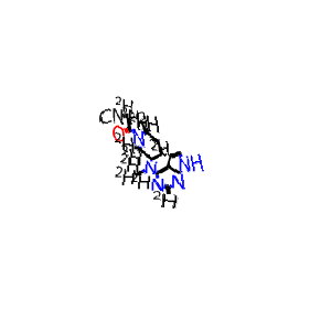 [2H]c1nc(N([C@@H]2[C@H](C)CC([2H])([2H])N(C(=O)C([2H])([2H])[N+]#[C-])C2([2H])[2H])C([2H])([2H])[2H])c2c([2H])c[nH]c2n1